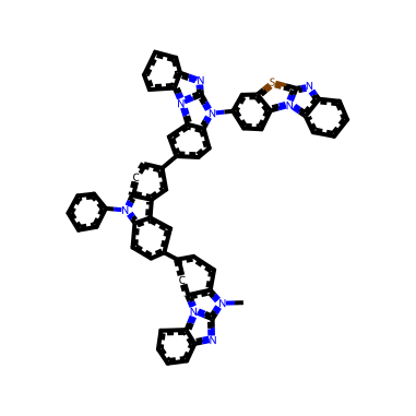 Cn1c2ccc(-c3ccc4c(c3)c3cc(-c5ccc6c(c5)n5c7ccccc7nc5n6-c5ccc6c(c5)sc5nc7ccccc7n56)ccc3n4-c3ccccc3)cc2n2c3ccccc3nc12